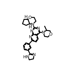 CC1COCCN1c1nc(N2CCO[C@@H]3CCC[C@@H]32)nc2nc(-c3cccc(C4=NCCN4)c3)ccc12